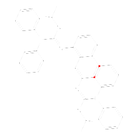 CC(C)N/C(=N/c1ccc2cccc(/N=C(\NC(C)C)P(c3ccccc3)c3ccccc3)c2c1)P(c1ccccc1)c1ccccc1